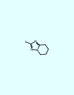 Ic1nc2n(n1)CCCC2